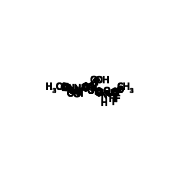 COc1ccc(CC(=O)Nc2ccc(C(=O)N(CC(=O)O)Cc3ccc(-c4noc(C(=O)Nc5ccc(C)cc5)n4)cc3)cc2)c(C(F)(F)F)c1